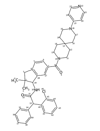 CC1(C)Cc2ccc(C(=O)N3CCC4(CC3)CCN(c3ccncc3)CC4)cc2C1NC(=O)C(c1ccccc1)c1ccccc1Cl